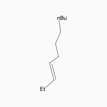 CC[CH]CCCCC=CCC